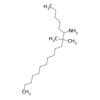 CCCCCCCCCCCC(C)(C)C(N)CCCCC